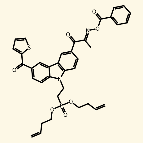 C=CCCOP(=O)(CCn1c2ccc(C(=O)/C(C)=N/OC(=O)c3ccccc3)cc2c2cc(C(=O)c3cccs3)ccc21)OCCC=C